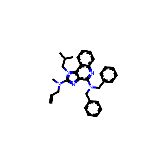 C=CCN(C)c1nc2c(N(Cc3ccccc3)Cc3ccccc3)nc3ccccc3c2n1CC(C)C